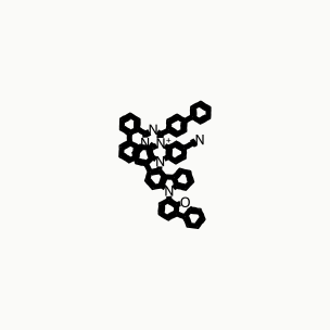 N#Cc1ccc(-n2c3ccccc3c3ccc4c(c5ccccc5n4-c4cccc5c4oc4ccccc45)c32)c(-[n+]2cnc(-c3ccccc3-c3ccccc3)nc2-c2ccc(-c3ccccc3)cc2)c1